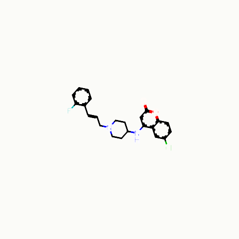 O=c1cc(NC2CCN(CC=Cc3ccccc3F)CC2)c2cc(Cl)ccc2o1